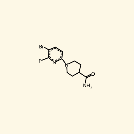 NC(=O)C1CCN(c2ccc(Br)c(F)n2)CC1